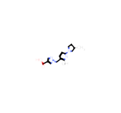 C[C@H]1CCN(c2ccc(Cn3cc(C(=O)O)cn3)cn2)C1.[LiH]